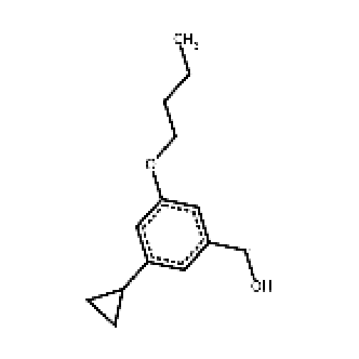 CCCCOc1cc([CH]O)cc(C2CC2)c1